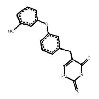 N#Cc1cccc(Oc2cccc(CC3=CNC(=S)[N]C3=O)c2)c1